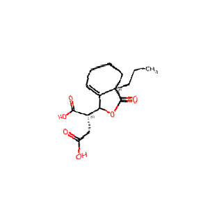 CCC[C@]12CCCC=C1C([C@H](CC(=O)O)C(=O)O)OC2=O